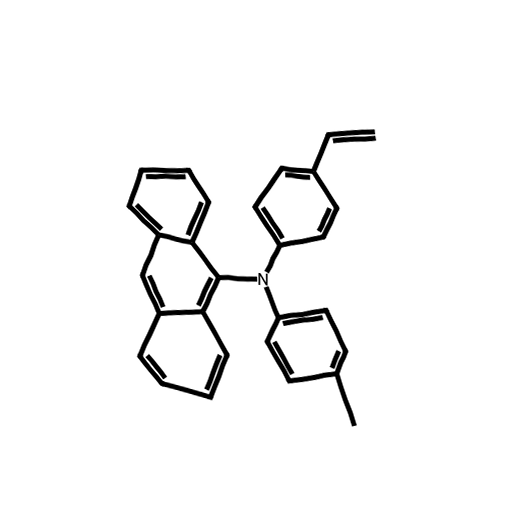 C=Cc1ccc(N(c2ccc(C)cc2)c2c3ccccc3cc3ccccc23)cc1